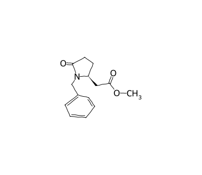 COC(=O)C[C@@H]1CCC(=O)N1Cc1ccccc1